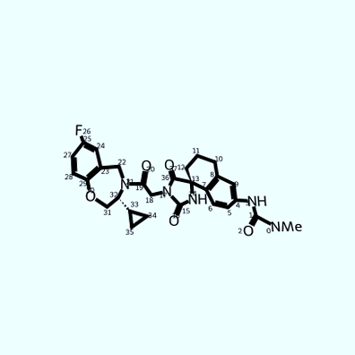 CNC(=O)Nc1ccc2c(c1)CCC[C@]21NC(=O)N(CC(=O)N2Cc3cc(F)ccc3OC[C@H]2C2CC2)C1=O